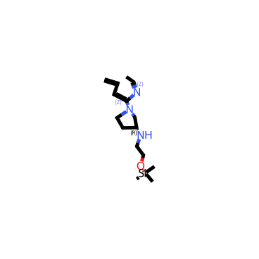 C=C/C=C(\N=C/C)N1CC[C@@H](NCCO[Si](C)(C)C)C1